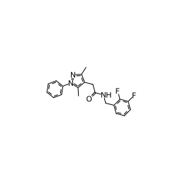 Cc1nn(-c2ccccc2)c(C)c1CC(=O)NCc1cccc(F)c1F